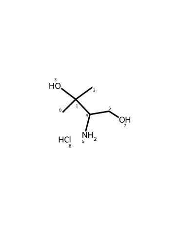 CC(C)(O)C(N)CO.Cl